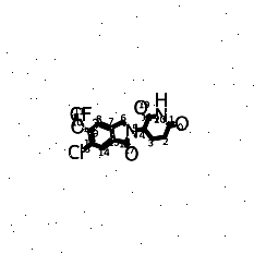 O=C1CCC(N2Cc3cc(OC(F)(F)F)c(Cl)cc3C2=O)C(=O)N1